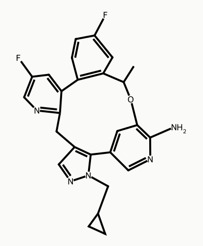 CC1Oc2cc(cnc2N)-c2c(cnn2CC2CC2)Cc2ncc(F)cc2-c2ccc(F)cc21